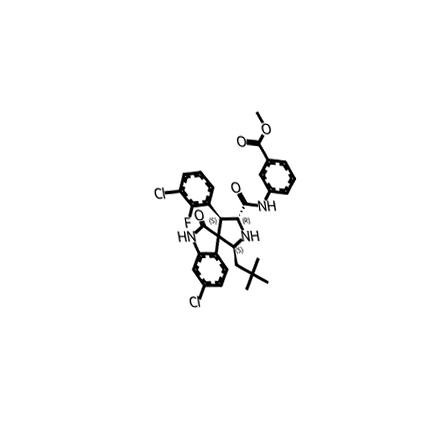 COC(=O)c1cccc(NC(=O)[C@@H]2N[C@@H](CC(C)(C)C)C3(C(=O)Nc4cc(Cl)ccc43)[C@H]2c2cccc(Cl)c2F)c1